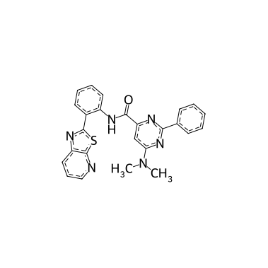 CN(C)c1cc(C(=O)Nc2ccccc2-c2nc3cccnc3s2)nc(-c2ccccc2)n1